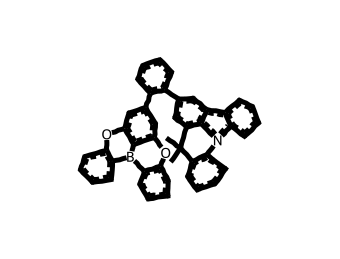 CC1(C)c2ccccc2-n2c3ccccc3c3cc(-c4ccccc4-c4cc5c6c(c4)Oc4ccccc4B6c4ccccc4O5)cc1c32